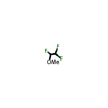 [CH2]OC(F)C(F)F